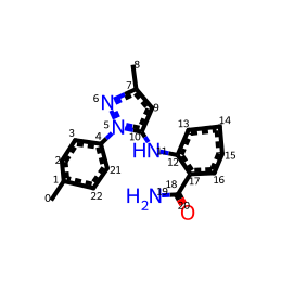 Cc1ccc(-n2nc(C)cc2Nc2ccccc2C(N)=O)cc1